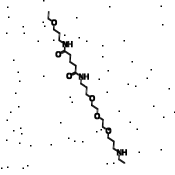 CCNCCCOCCOCCOCCCNC(=O)CCCC(=O)NCCCOCC